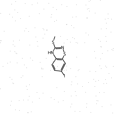 CSC1=NSc2cc(I)ccc2N1